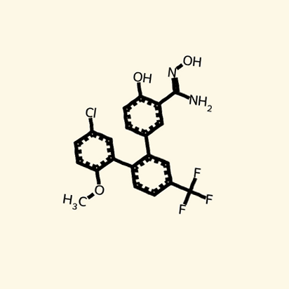 COc1ccc(Cl)cc1-c1ccc(C(F)(F)F)cc1-c1ccc(O)c(/C(N)=N/O)c1